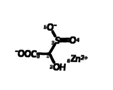 O=C([O-])C(O)S(=O)[O-].[Zn+2]